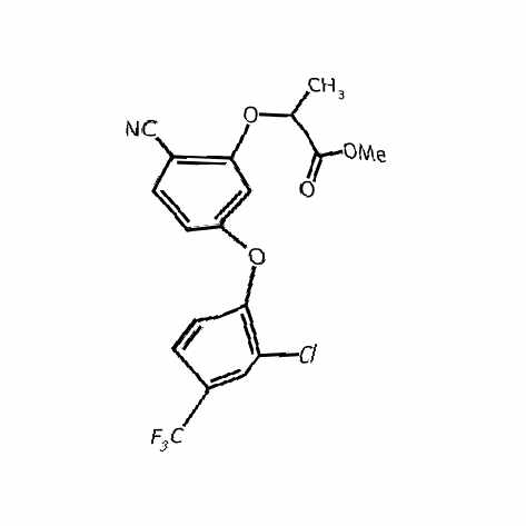 COC(=O)C(C)Oc1cc(Oc2ccc(C(F)(F)F)cc2Cl)ccc1C#N